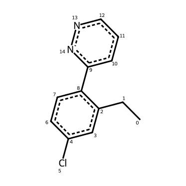 CCc1cc(Cl)ccc1-c1cccnn1